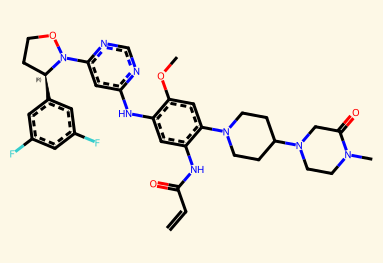 C=CC(=O)Nc1cc(Nc2cc(N3OCC[C@@H]3c3cc(F)cc(F)c3)ncn2)c(OC)cc1N1CCC(N2CCN(C)C(=O)C2)CC1